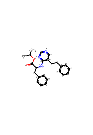 CC(C)OC(=O)C(Cc1ccccc1)Nc1ncncc1CCc1ccccc1